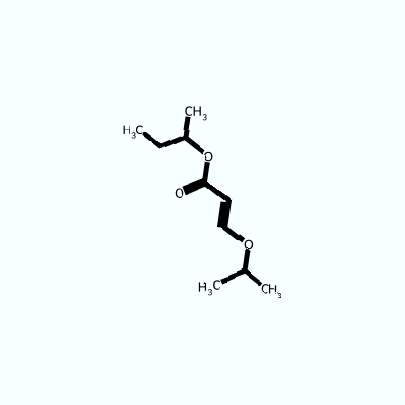 CCC(C)OC(=O)/C=C/OC(C)C